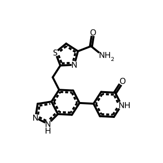 NC(=O)c1csc(Cc2cc(-c3cc[nH]c(=O)c3)cc3[nH]ncc23)n1